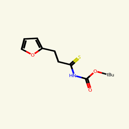 CC(C)(C)OC(=O)NC(=S)CCc1ccco1